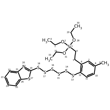 CCO[Si](CCc1cc(C)ccc1SSSSSSc1nc2ccccc2s1)(OCC)OCC